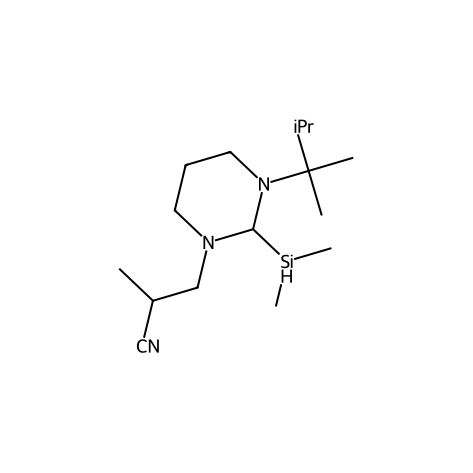 CC(C#N)CN1CCCN(C(C)(C)C(C)C)C1[SiH](C)C